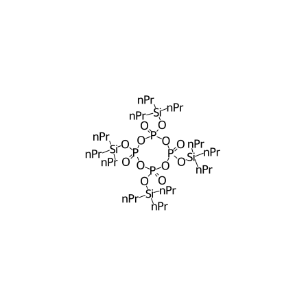 CCC[Si](CCC)(CCC)OP1(=O)OP(=O)(O[Si](CCC)(CCC)CCC)OP(=O)(O[Si](CCC)(CCC)CCC)OP(=O)(O[Si](CCC)(CCC)CCC)O1